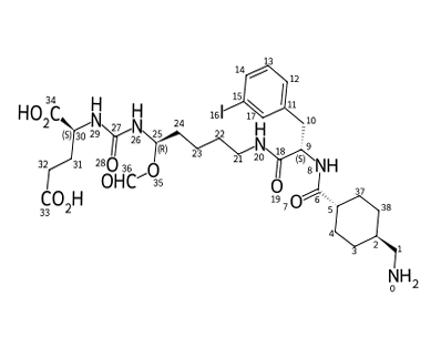 NC[C@H]1CC[C@H](C(=O)N[C@@H](Cc2cccc(I)c2)C(=O)NCCCC[C@H](NC(=O)N[C@@H](CCC(=O)O)C(=O)O)OC=O)CC1